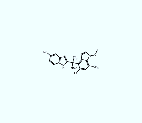 CCc1cc(C)c2c(ccn2SI)c1C(NC)(c1nc2cc(C#N)ccc2[nH]1)C(F)(F)F